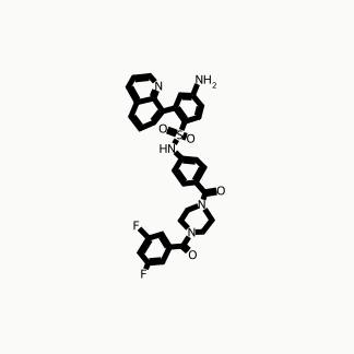 Nc1ccc(S(=O)(=O)Nc2ccc(C(=O)N3CCN(C(=O)c4cc(F)cc(F)c4)CC3)cc2)c(-c2cccc3cccnc23)c1